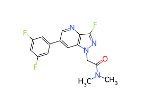 CN(C)C(=O)Cn1nc(F)c2ncc(-c3cc(F)cc(F)c3)cc21